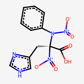 O=C(O)[C@](Cc1c[nH]cn1)(N(c1ccccc1)[N+](=O)[O-])[N+](=O)[O-]